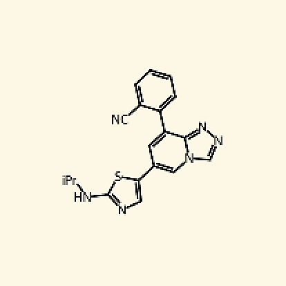 CC(C)Nc1ncc(-c2cc(-c3ccccc3C#N)c3nncn3c2)s1